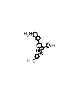 Cc1ccc(S(=O)(=O)n2cc(-c3cn[nH]c3)c3cc(-c4ccc5c(c4)CN(C)CC5)cnc32)cc1